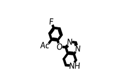 CC(=O)c1cc(F)ccc1Oc1ncnc2c1CCNC2